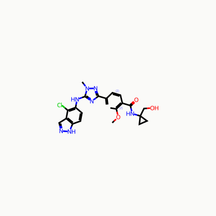 C=C(/C=C\C(C(=O)NC1(CO)CC1)=C(/C)OC)c1nc(Nc2ccc3[nH]ncc3c2Cl)n(C)n1